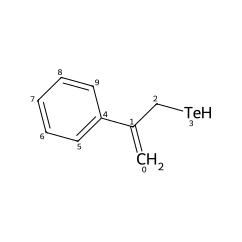 C=C(C[TeH])c1ccccc1